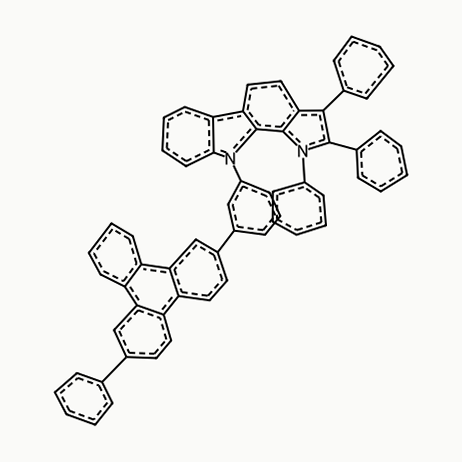 c1ccc(-c2ccc3c4ccc(-c5cccc(-n6c7ccccc7c7ccc8c(-c9ccccc9)c(-c9ccccc9)n(-c9ccccc9)c8c76)c5)cc4c4ccccc4c3c2)cc1